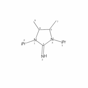 CC(C)N1C(=N)N(C(C)C)C(C)C1C